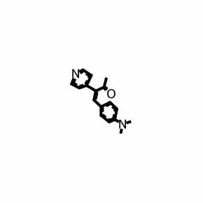 CC(=O)C(=Cc1ccc(N(C)C)cc1)c1ccncc1